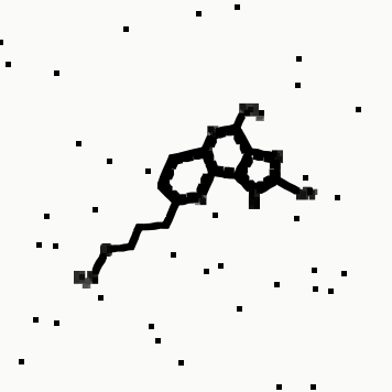 CCCc1nc2c(N)nc3ccc(CCCON)nc3c2[nH]1